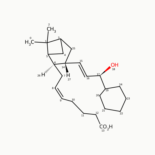 CC1(C)C2CC1[C@H](C/C=C\CCCC(=O)O)[C@@H](/C=C/[C@@H](O)C1CCCCC1)C2